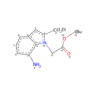 CCOC(=O)c1cc2cccc(N)c2n1CC(=O)OC(C)(C)C